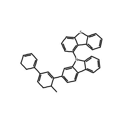 CC1CC=C(C2=CC=CCC2)C=C1c1ccc2c3ccccc3n(-c3cccc4sc5ccccc5c34)c2c1